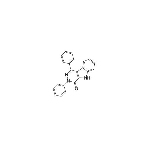 O=c1c2[nH]c3ccccc3c2c(-c2ccccc2)nn1-c1ccccc1